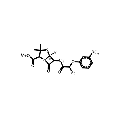 CCC(Oc1cccc([N+](=O)[O-])c1)C(=O)NC1C(=O)N2C(C(=O)OC)C(C)(C)S[C@@H]12